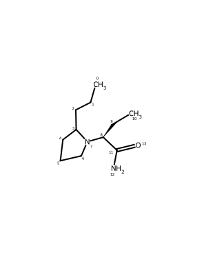 CCCC1CCCN1[C@@H](CC)C(N)=O